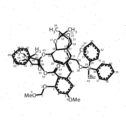 COCOc1cc(OC)cc(/C=C/C[C@@H]2OC(C)(C)O[C@@H]2C(/C=C\[C@@H](OCOC)[C@H](C)O[Si](c2ccccc2)(c2ccccc2)C(C)(C)C)OC(=O)c2ccccc2)c1C(=O)OCC[Si](C)(C)C